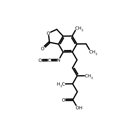 CCc1c(C)c2c(c(N=C=O)c1C/C=C(\C)C(C)CC(=O)O)C(=O)OC2